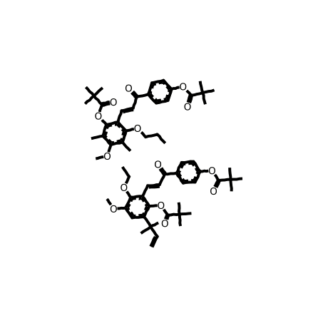 C=CC(C)(C)c1cc(OC)c(OCC)c(C=CC(=O)c2ccc(OC(=O)C(C)(C)C)cc2)c1OC(=O)C(C)(C)C.CCCOc1c(C)c(OC)c(C)c(OC(=O)C(C)(C)C)c1C=CC(=O)c1ccc(OC(=O)C(C)(C)C)cc1